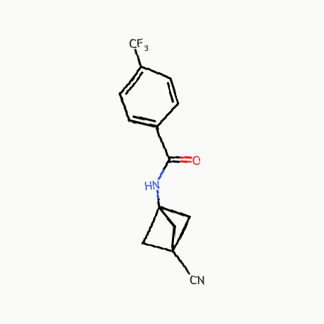 N#CC12CC(NC(=O)c3ccc(C(F)(F)F)cc3)(C1)C2